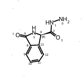 NNC(=O)[C@@H]1NC(=O)c2ccccc21